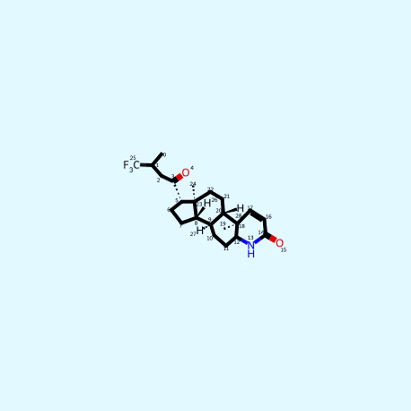 CC(CC(=O)[C@H]1CC[C@H]2[C@@H]3CCC4NC(=O)C=C[C@]4(C)[C@H]3CC[C@]12C)C(F)(F)F